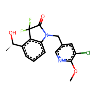 COc1ncc(CN2C(=O)C(F)(F)c3c([C@H](C)O)cccc32)cc1Cl